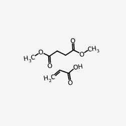 C=CC(=O)O.COC(=O)CCC(=O)OC